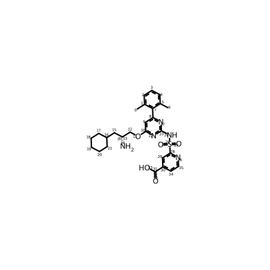 Cc1cccc(C)c1-c1cc(OC[C@H](N)CC2CCCCC2)nc(NS(=O)(=O)c2cc(C(=O)O)ccn2)n1